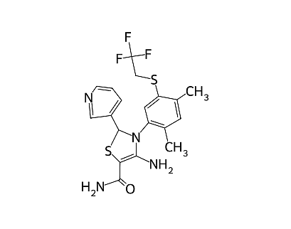 Cc1cc(C)c(N2C(N)=C(C(N)=O)SC2c2cccnc2)cc1SCC(F)(F)F